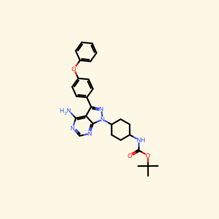 CC(C)(C)OC(=O)NC1CCC(n2nc(-c3ccc(Oc4ccccc4)cc3)c3c(N)ncnc32)CC1